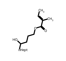 CC=C(C)C(=O)OCCCC(O)CCCCCCC